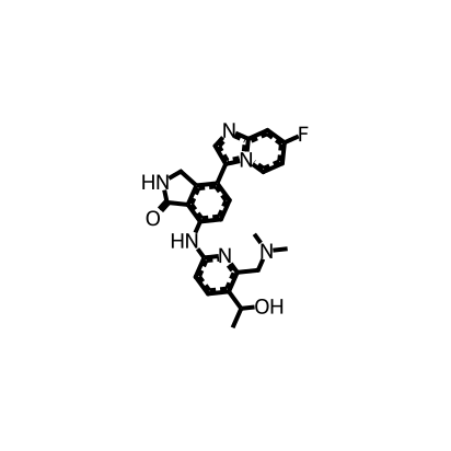 CC(O)c1ccc(Nc2ccc(-c3cnc4cc(F)ccn34)c3c2C(=O)NC3)nc1CN(C)C